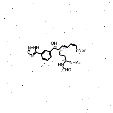 CCCCCCCCC/C=C\C=C\[C@@H](SC[C@H](NC=O)NC(C)=O)[C@@H](O)c1cccc(-c2nnn[nH]2)c1